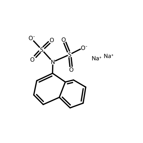 O=S(=O)([O-])N(c1cccc2ccccc12)S(=O)(=O)[O-].[Na+].[Na+]